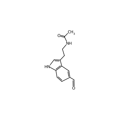 CC(=O)NCCc1c[nH]c2ccc(C=O)cc12